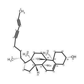 CC#CC#CCC[C@@H](C)[C@H]1CC[C@H]2[C@@H]3CC=C4C[C@@H](O)CC[C@]4(C)[C@H]3CC[C@]12C